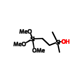 CO[Si](CC[Si](C)(C)O)(OC)OC